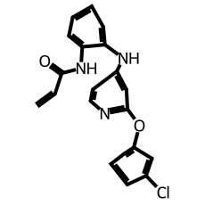 C=CC(=O)Nc1ccccc1Nc1ccnc(Oc2cccc(Cl)c2)c1